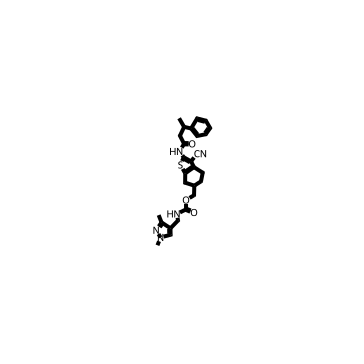 Cc1nn(C)cc1CNC(=O)OCC1CCc2c(sc(NC(=O)CC(C)c3ccccc3)c2C#N)C1